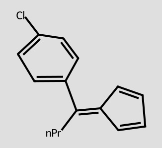 CCCC(=C1C=CC=C1)c1ccc(Cl)cc1